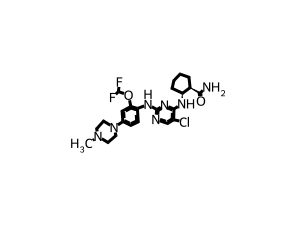 CN1CCN(c2ccc(Nc3ncc(Cl)c(N[C@@H]4CCCC[C@H]4C(N)=O)n3)c(OC(F)F)c2)CC1